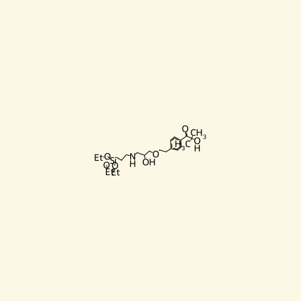 CCO[Si](CCCNCC(O)COCCc1ccc(C(=O)C(C)(C)O)cc1)(OCC)OCC